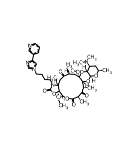 CC[C@H]1OC(=O)[C@H](C)C(=O)[C@H](C)[C@H]2O[C@@H]3O[C@H](C)C[C@H](N(C)C)[C@H]3O[C@]2(OC)C[C@H](C)C(=O)[C@@H](C)[C@H]2N(CCCCn3cnc(-c4cccnc4)c3)C(=O)O[C@]12C